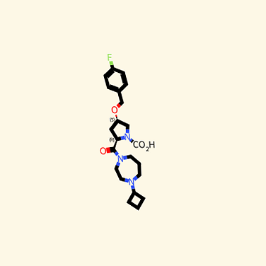 O=C([C@H]1C[C@H](OCc2ccc(F)cc2)CN1C(=O)O)N1CCCN(C2CCC2)CC1